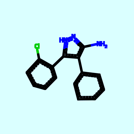 Nc1n[nH]c(-c2ccccc2Cl)c1-c1ccccc1